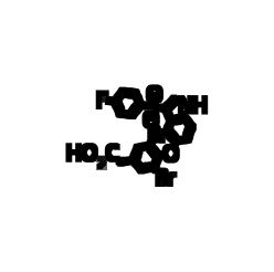 O=C(O)Cc1cc(Br)c(Oc2ccc3[nH]cc(S(=O)(=O)c4ccc(F)cc4)c3c2)c(Br)c1